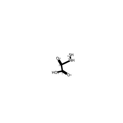 O=C(O)C(=O)NS